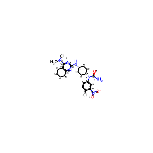 Cc1ccc(N(C(N)=O)[C@H]2CC[C@@H](Nc3nc4c(c(N(C)C)n3)CCCC4)CC2)cc1[N+](=O)[O-]